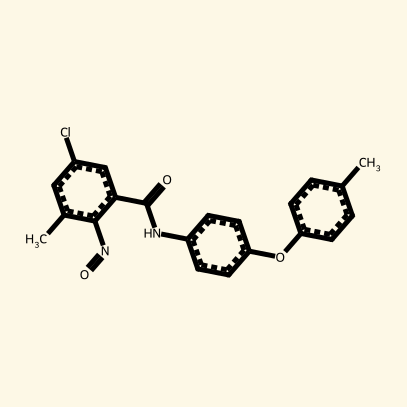 Cc1ccc(Oc2ccc(NC(=O)c3cc(Cl)cc(C)c3N=O)cc2)cc1